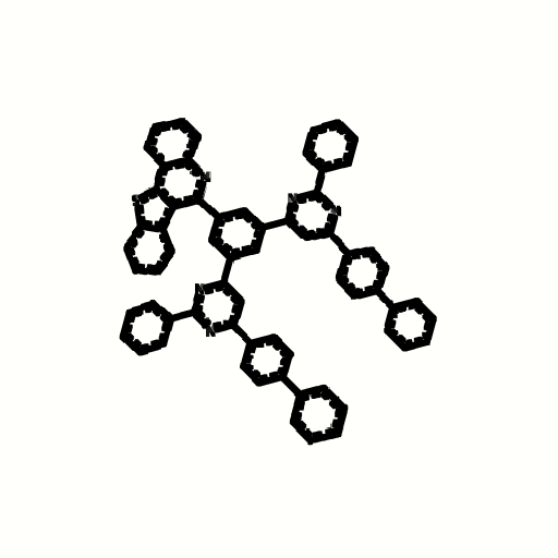 c1ccc(-c2ccc(-c3cc(-c4cc(-c5cc(-c6ccc(-c7ccccc7)cc6)nc(-c6ccccc6)n5)cc(-c5nc6ccccc6c6sc7ccccc7c56)c4)nc(-c4ccccc4)n3)cc2)cc1